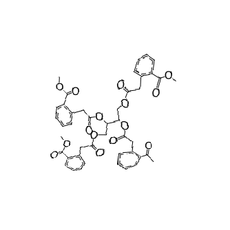 COC(=O)c1ccccc1CC(=O)OCC(OC(=O)Cc1ccccc1C(C)=O)C(COC(=O)Cc1ccccc1C(=O)OC)OC(=O)Cc1ccccc1C(=O)OC